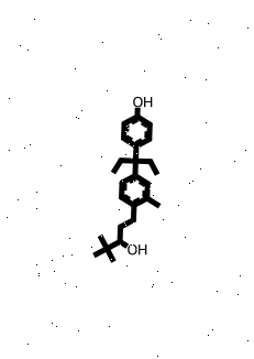 CCC(CC)(c1ccc(O)cc1)c1ccc(CCC(O)C(C)(C)C)c(C)c1